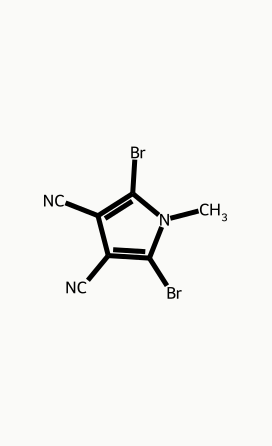 Cn1c(Br)c(C#N)c(C#N)c1Br